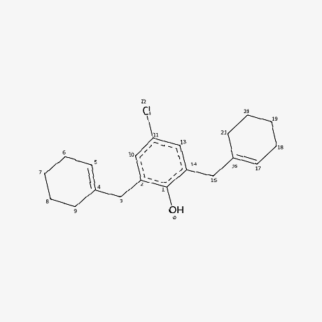 Oc1c(CC2=CCCCC2)cc(Cl)cc1CC1=CCCCC1